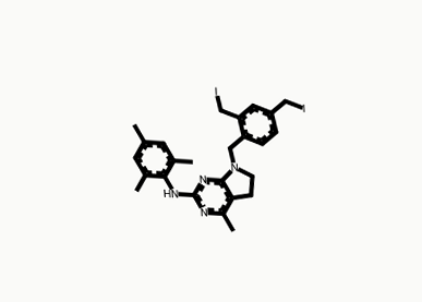 Cc1cc(C)c(Nc2nc(C)c3c(n2)N(Cc2ccc(CI)cc2CI)CC3)c(C)c1